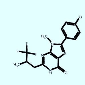 CC(Cc1nc2c(nc(-c3ccc(Cl)cc3)n2C)c(=O)[nH]1)C(F)(F)F